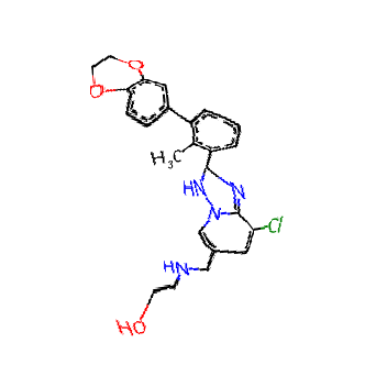 Cc1c(-c2ccc3c(c2)OCCO3)cccc1C1N=C2C(Cl)=CC(CNCCO)=CN2N1